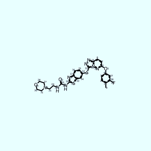 Cc1ccc(Oc2ccc3nnc(Sc4ccc5nc(NC(=O)NCCN6CCOCC6)sc5c4)n3n2)cc1F